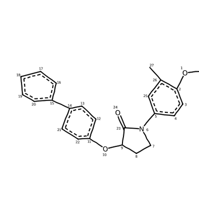 COc1ccc(N2CCC(Oc3ccc(-c4ccccc4)cc3)C2=O)cc1C